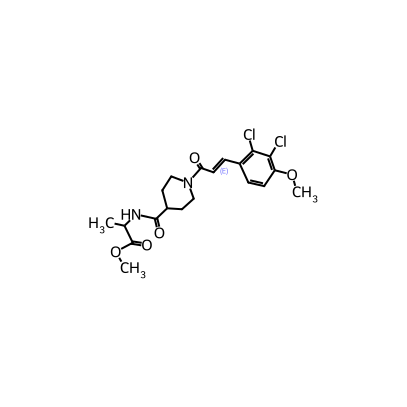 COC(=O)C(C)NC(=O)C1CCN(C(=O)/C=C/c2ccc(OC)c(Cl)c2Cl)CC1